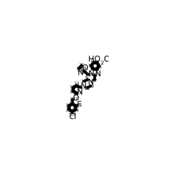 O=C(O)c1ccc2nc(CN3CCN(c4cccc(OCc5ccc(Cl)cc5F)n4)CC3)n(Cc3ncco3)c2c1